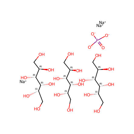 O=P([O-])([O-])[O-].OC[C@@H](O)[C@@H](O)[C@H](O)[C@@H](O)CO.OC[C@@H](O)[C@@H](O)[C@H](O)[C@@H](O)CO.OC[C@@H](O)[C@@H](O)[C@H](O)[C@@H](O)CO.[Na+].[Na+].[Na+]